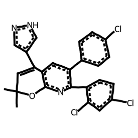 CC1(C)C=C(c2cn[nH]c2)c2cc(-c3ccc(Cl)cc3)c(-c3ccc(Cl)cc3Cl)nc2O1